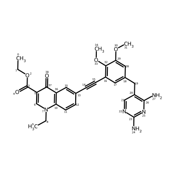 CCOC(=O)c1cn(CC)c2ccc(C#Cc3cc(Cc4cnc(N)nc4N)cc(OC)c3OC)cc2c1=O